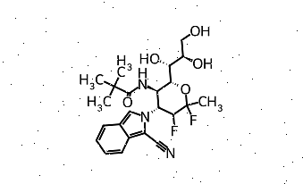 CC(C)(C)C(=O)N[C@H]1[C@H]([C@H](O)[C@H](O)CO)OC(C)(F)C(F)[C@@H]1n1cc2ccccc2c1C#N